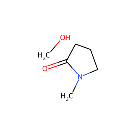 CN1CCCC1=O.CO